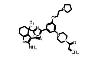 C=CC(=O)N1CCN(c2cc(OCCN3CCCC3)cc(-c3noc(C4(C)CCCc5sc(N)c(C#N)c54)n3)c2)CC1